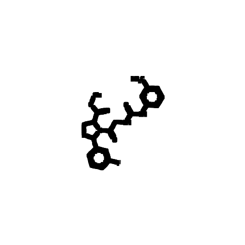 CC(C)(C)OC(=O)C1CSC(c2cccc(F)c2)N1C(=O)CNC(=O)Nc1cccc(C(=O)O)c1